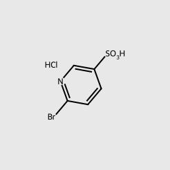 Cl.O=S(=O)(O)c1ccc(Br)nc1